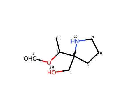 CC(OC=O)C1(CO)CCCN1